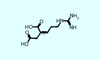 N=C(N)NCC/C=C(/CC(=O)O)C(=O)O